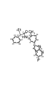 CCC(C(=O)Nc1cc(-c2cn3cc(F)cnc3n2)ccc1C)c1ccccc1